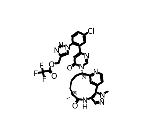 C[C@@H]1CCC[C@H](n2cnc(-c3cc(Cl)ccc3-n3cc(COC(=O)C(F)(F)F)nn3)cc2=O)c2cc(ccn2)-c2c(cnn2C)NC1=O